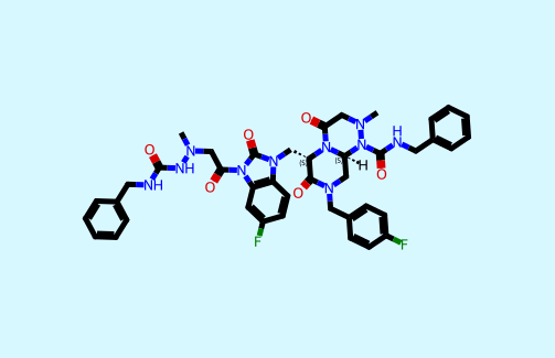 CN(CC(=O)n1c(=O)n(C[C@H]2C(=O)N(Cc3ccc(F)cc3)C[C@H]3N2C(=O)CN(C)N3C(=O)NCc2ccccc2)c2ccc(F)cc21)NC(=O)NCc1ccccc1